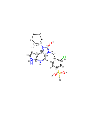 C[C@@H]1CCCC[C@@H]1n1c(=O)n(Cc2ccc(S(C)(=O)=O)cc2Cl)c2cnc3[nH]ccc3c21